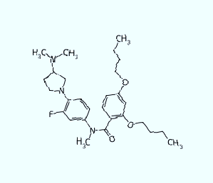 CCCCOc1ccc(C(=O)N(C)c2ccc(N3CCC(N(C)C)C3)c(F)c2)c(OCCCC)c1